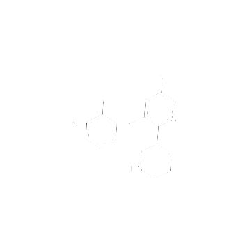 Clc1cnc(C2CNCCO2)c(Cl)c1.[Na+].[O-]c1ccccc1